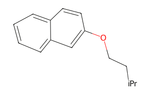 CC(C)CCOc1ccc2ccccc2c1